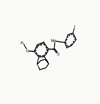 CCOc1ccc(C(=O)Nc2cccc(F)c2)c2c1C1CCC2CC1